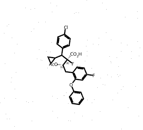 CC(=O)O[C@@H](Cc1ccc(F)cc1Oc1ccccc1)[C@@](F)(C(=O)O)C(c1ccc(Cl)cc1)C1CC1